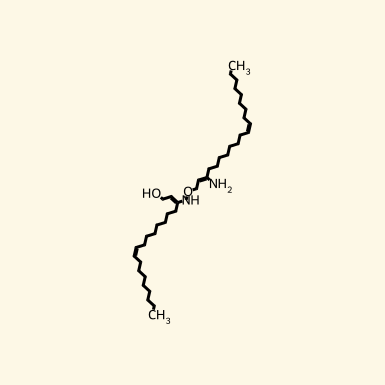 CCCCCCCC/C=C\CCCCCCCC(N)=CCONC(=CCO)CCCCCCC/C=C\CCCCCCCC